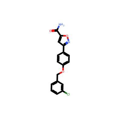 NC(=O)c1cc(-c2ccc(OCc3cccc(Cl)c3)cc2)no1